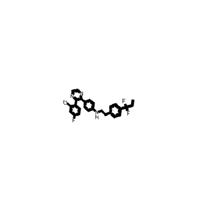 CCC(F)(F)c1ccc(CCNc2ccc(-c3nccnc3-c3ccc(F)cc3Cl)cc2)cc1